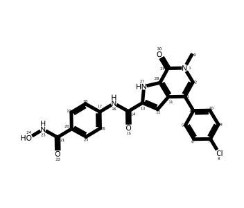 Cn1cc(-c2ccc(Cl)cc2)c2cc(C(=O)Nc3ccc(C(=O)NO)cc3)[nH]c2c1=O